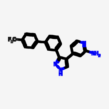 Nc1cc(-c2c[nH]nc2-c2cccc(-c3c[c]c(C(F)(F)F)cc3)c2)ccn1